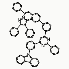 c1ccc(-c2nc(-c3cccc(-c4ccc5cc(-c6ccccc6)n6nc(-c7ccccc7)c(-c7ccccc7)c6c5c4)c3)cc(-c3cccc(-n4c5ccccc5c5ccccc54)c3)n2)cc1